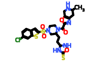 CC1Cc2nc(C(=O)N3CCN(S(=O)(=O)c4cc5ccc(Cl)cc5s4)CC3CCC3NOC(=S)N3)oc2CN1